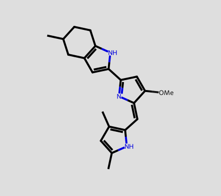 COC1=CC(c2cc3c([nH]2)CCC(C)C3)=N/C1=C\c1[nH]c(C)cc1C